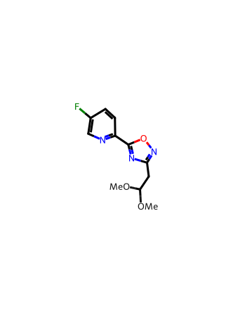 COC(Cc1noc(-c2ccc(F)cn2)n1)OC